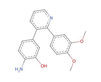 COc1ccc(-c2ncccc2-c2ccc(N)c(O)c2)cc1OC